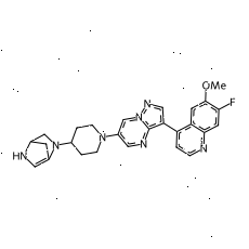 COc1cc2c(-c3cnn4cc(N5CCC(N6CC7CC6=CN7)CC5)cnc34)ccnc2cc1F